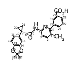 Cc1ccc(NC2O[C@@H]2C2(c3ccc4c(c3)OC(F)(F)O4)CC2)nc1-c1cccc(C(=O)O)c1